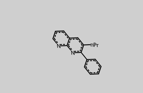 CCCc1cc2cccnc2nc1-c1ccccc1